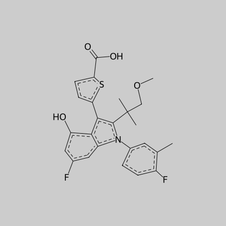 COCC(C)(C)c1c(-c2ccc(C(=O)O)s2)c2c(O)cc(F)cc2n1-c1ccc(F)c(C)c1